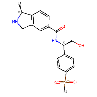 CC[C@@H]1NCc2cc(C(=O)N[C@@H](CO)c3ccc(S(=O)(=O)CC)cc3)ccc21